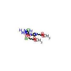 COC(=O)CCCCBr.COC(=O)CCCCN1CCC(CNC(=O)c2cc(Cl)c(N)[nH]c2=O)CC1